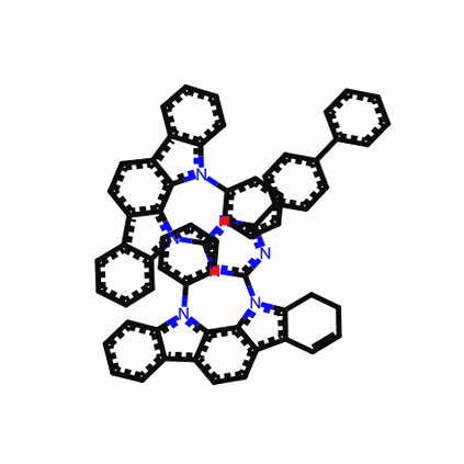 C1=Cc2c(n(-c3nc(-c4ccc(-c5ccccc5)cc4)nc(-n4c5ccccc5c5ccc6c7ccccc7n(-c7ccccc7)c6c54)n3)c3c2ccc2c4ccccc4n(-c4ccccc4)c23)CC1